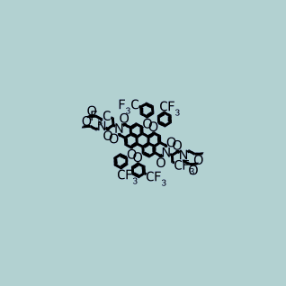 O=C(C(CC(F)(F)F)N1C(=O)c2cc(Oc3cccc(C(F)(F)F)c3)c3c4c(Oc5cccc(C(F)(F)F)c5)cc5c6c(cc(Oc7cccc(C(F)(F)F)c7)c(c7c(Oc8cccc(C(F)(F)F)c8)cc(c2c37)C1=O)c64)C(=O)N(C(CC(F)(F)F)C(=O)N(CC1CO1)CC1CO1)C5=O)N(CC1CO1)CC1CO1